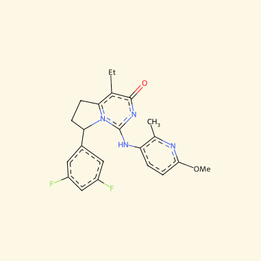 CCc1c2n(c(Nc3ccc(OC)nc3C)nc1=O)C(c1cc(F)cc(F)c1)CC2